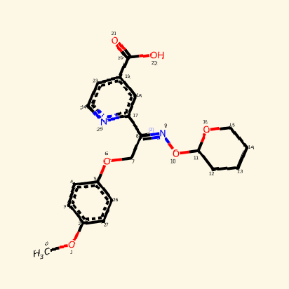 COc1ccc(OC/C(=N\OC2CCCCO2)c2cc(C(=O)O)ccn2)cc1